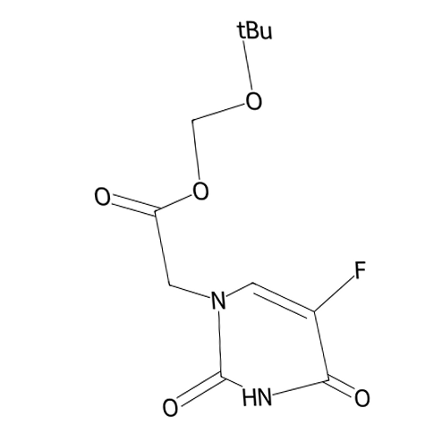 CC(C)(C)OCOC(=O)Cn1cc(F)c(=O)[nH]c1=O